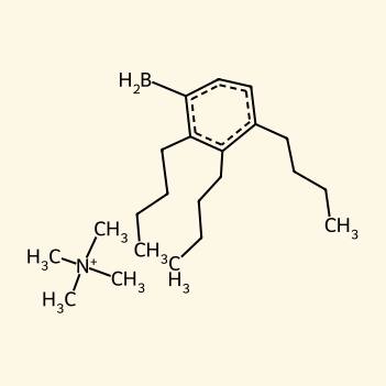 Bc1ccc(CCCC)c(CCCC)c1CCCC.C[N+](C)(C)C